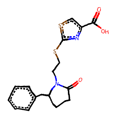 O=C(O)c1csc(SCCN2C(=O)CCC2c2ccccc2)n1